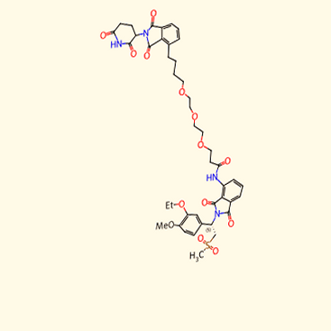 CCOc1cc([C@@H](CS(C)(=O)=O)N2C(=O)c3cccc(NC(=O)CCOCCOCCOCCCCc4cccc5c4C(=O)N(C4CCC(=O)NC4=O)C5=O)c3C2=O)ccc1OC